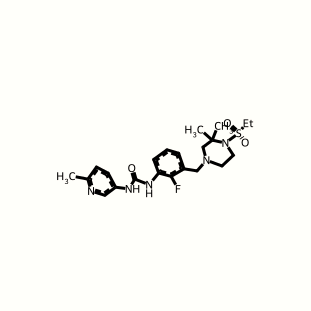 CCS(=O)(=O)N1CCN(Cc2cccc(NC(=O)Nc3ccc(C)nc3)c2F)CC1(C)C